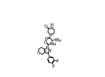 CC(C)(C)C(NC(=O)n1nc(-c2ccc(F)c(F)c2)c2c1CCOC2)C(=O)N1CCNC(=O)C1